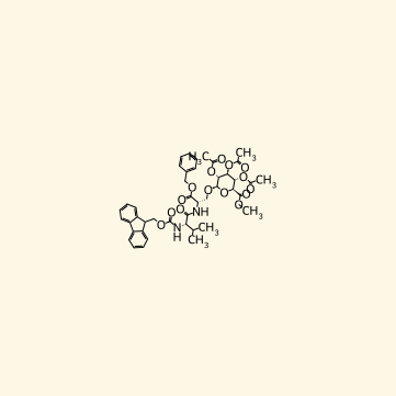 COC(=O)[C@H]1O[C@@H](OC[C@H](NC(=O)[C@@H](NC(=O)OCC2c3ccccc3-c3ccccc32)C(C)C)C(=O)OCc2ccccc2)[C@H](OC(C)=O)[C@@H](OC(C)=O)[C@@H]1OC(C)=O